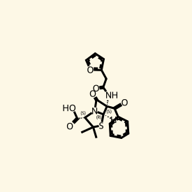 CC1(C)S[C@H]2N(C(=O)[C@@]2(NC(=O)Cc2ccco2)C(=O)c2ccccc2)[C@H]1C(=O)O